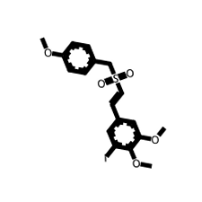 COc1ccc(CS(=O)(=O)C=Cc2cc(I)c(OC)c(OC)c2)cc1